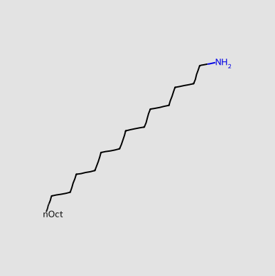 CCCCCCCCCCCCCCCCCCCCCN